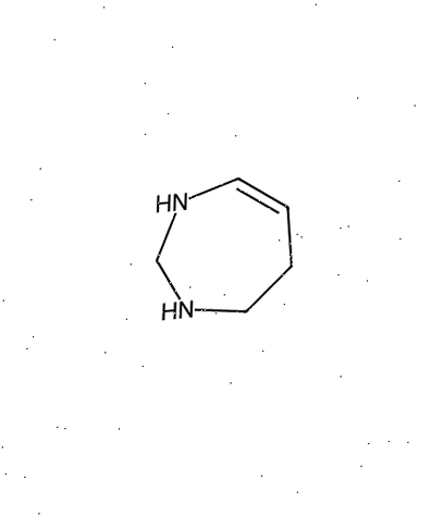 C1=CNCNCC1